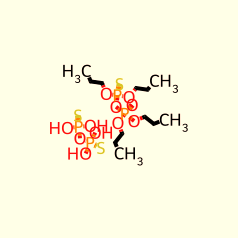 CCCOP(=O)(OCCC)OP(=S)(OCCC)OCCC.OP(O)(=S)OP(O)(O)=S